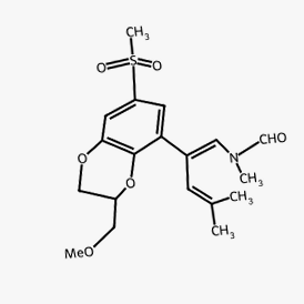 COCC1COc2cc(S(C)(=O)=O)cc(/C(C=C(C)C)=C/N(C)C=O)c2O1